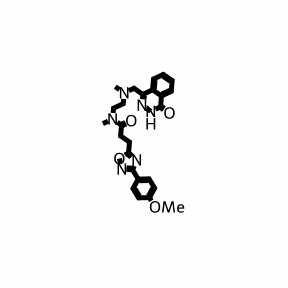 COc1ccc(-c2noc(CCC(=O)N(C)CCN(C)Cc3n[nH]c(=O)c4ccccc34)n2)cc1